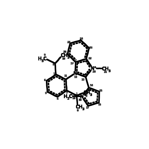 CC(C)c1cccc(C(C)C)c1-n1c(-c2cccn2C)[n+](C)c2ccccc21